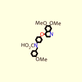 COc1cccc(CN(C(=O)O)c2ccc(Oc3ccnc4cc(OC)c(OC)cc34)cc2)c1